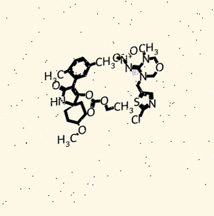 CCOC(=O)OC1=C(c2cc(C)ccc2C)C(=O)N[C@]12CC[C@@H](OC)CC2.CN1COCN(Cc2cnc(Cl)s2)/C1=N/[N+](=O)[O-]